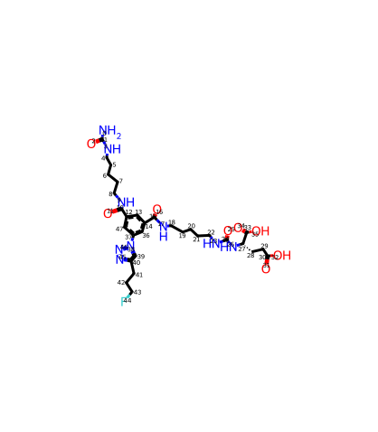 NC(=O)NCCCCCNC(=O)c1cc(C(=O)NCCCCCNC(=O)N[C@@H](CCC(=O)O)C(=O)O)cc(-n2cc(CCCF)nn2)c1